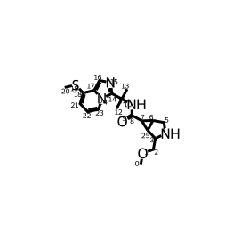 COCC1NCC2C(C(=O)NC(C)(C)c3ncc4c(SC)cccn34)C12